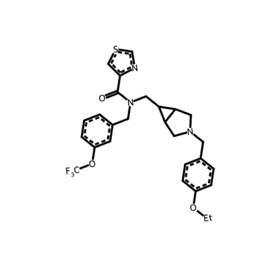 CCOc1ccc(CN2CC3C(C2)C3CN(Cc2cccc(OC(F)(F)F)c2)C(=O)c2cscn2)cc1